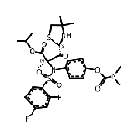 CC(C)OC(=O)[C@@](C)(C(=O)[C@H]1NC(C)(C)CS1)N(c1ccc(OC(=O)N(C)C)cc1)S(=O)(=O)c1ccc(F)cc1F